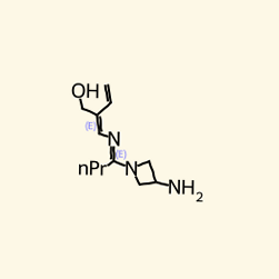 C=C/C(=C\N=C(/CCC)N1CC(N)C1)CO